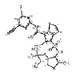 Cc1c(S(=O)(=O)NC2C(C)CCC2CC(C)(O)CO)c2n(c1C(=O)Nc1cc(F)nc(C#N)c1)CC=C2